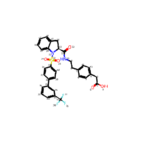 O=C(O)Cc1ccc(CCNC(=O)[C@@H]2Cc3ccccc3N2S(=O)(=O)c2ccc(-c3cccc(C(F)(F)F)c3)cc2)cc1